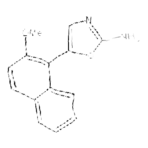 COc1ccc2ccccc2c1-c1cnc(N)o1